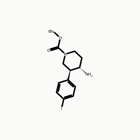 CC(C)(C)OC(=O)N1CC[C@H](N)[C@@H](c2ccc(I)cc2)C1